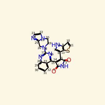 O=C1NC(=O)C(c2c[nH]c3ccsc23)=C1c1nc(N2CCn3ccnc3C2)nc2ccccc12